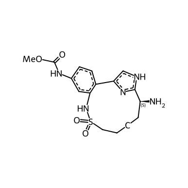 COC(=O)Nc1ccc2c(c1)NS(=O)(=O)CCCC[C@H](N)c1nc-2c[nH]1